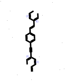 C=C/C=C\C(C#Cc1ccc(C=CC(/C=C\C)=C/C)cc1)=C/C